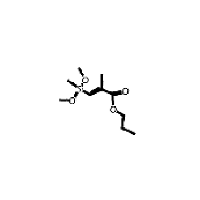 CCCOC(=O)C(C)=C[Si](C)(OC)OC